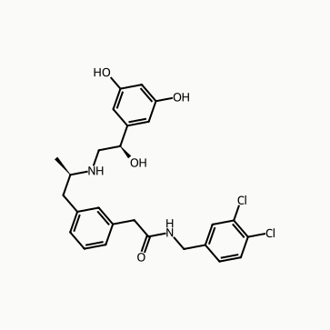 C[C@H](Cc1cccc(CC(=O)NCc2ccc(Cl)c(Cl)c2)c1)NC[C@H](O)c1cc(O)cc(O)c1